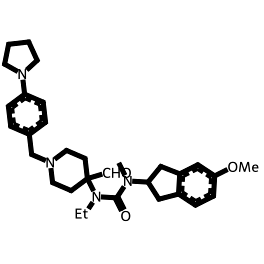 CCN(C(=O)N(C)C1Cc2ccc(OC)cc2C1)C1(C=O)CCN(Cc2ccc(N3CCCC3)cc2)CC1